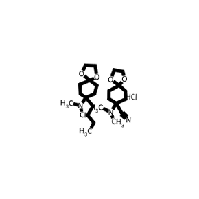 CCCCC1(N(C)C)CCC2(CC1)OCCO2.CN(C)C1(C#N)CCC2(CC1)OCCO2.Cl